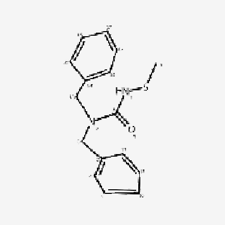 CSNC(=O)N(Cc1ccccc1)Cc1ccccc1